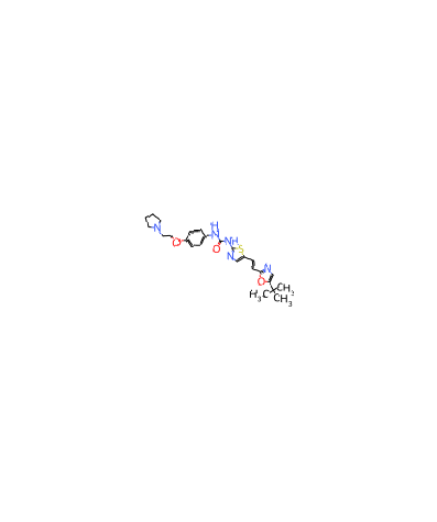 CC(C)(C)c1cnc(C=Cc2cnc(NC(=O)Nc3ccc(OCCN4CCCC4)cc3)s2)o1